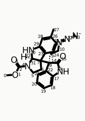 COC(=O)N1CCC2([C@@]3(CCN=[N+]=[N-])C(=O)Nc4ccccc43)c3ccc(C)cc3N[C@H]12